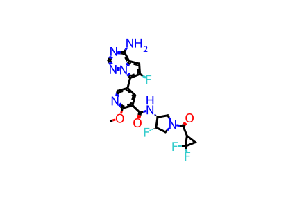 COc1ncc(-c2c(F)cc3c(N)ncnn23)cc1C(=O)N[C@@H]1CN(C(=O)C2CC2(F)F)C[C@@H]1F